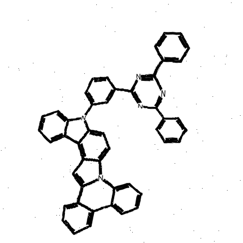 c1ccc(-c2nc(-c3ccccc3)nc(-c3cccc(-n4c5ccccc5c5c6cc7c8ccccc8c8ccccc8n7c6ccc54)c3)n2)cc1